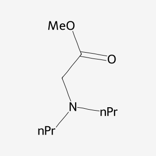 [CH2]OC(=O)CN(CCC)CCC